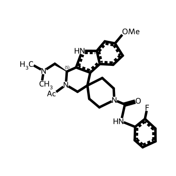 COc1ccc2c3c([nH]c2c1)[C@H](CN(C)C)N(C(C)=O)CC31CCN(C(=O)Nc2ccccc2F)CC1